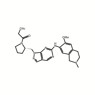 COc1cc2c(cc1Nc1ncc3cnn(C[C@@H]4CCCN4C(=O)COC(C)=O)c3n1)CN(C)CC2